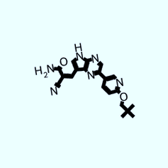 CC(C)(C)COc1ccc(-c2cnc3[nH]cc(C=C(C#N)C(N)=O)c3n2)cn1